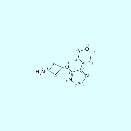 NC1CC(Oc2nccnc2C2CCOCC2)C1